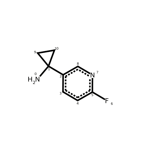 NC1(c2ccc(F)nc2)CC1